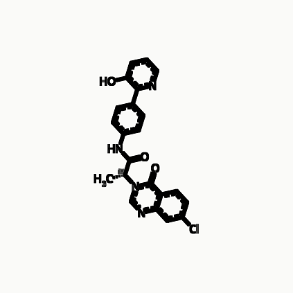 C[C@H](C(=O)Nc1ccc(-c2ncccc2O)cc1)n1cnc2cc(Cl)ccc2c1=O